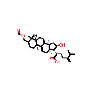 C=C(CC[C@@H](C(=O)O)[C@H]1[C@H](O)C[C@@]2(C)C3=CC[C@H]4C(C)(C)C(COC=O)CC[C@]4(C)C3=CC[C@]12C)C(C)C